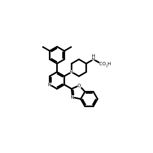 Cc1cc(C)cc(-c2cncc(-c3nc4ccccc4o3)c2N2CCC(NC(=O)O)CC2)c1